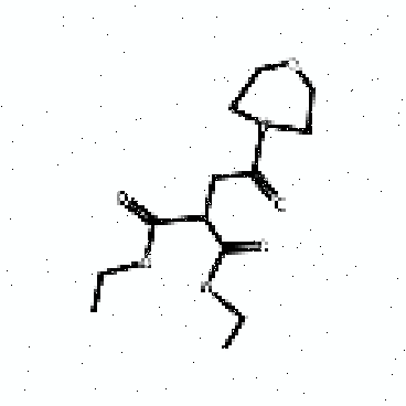 CCOC(=O)C(CC(=O)N1CCOCC1)C(=O)OCC